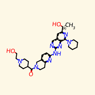 C[C@@H](O)c1cc2cnc(Nc3ccc4c(n3)CCN(C(=O)C3CCN(CCO)CC3)C4)nc2c(N2CCCCC2)n1